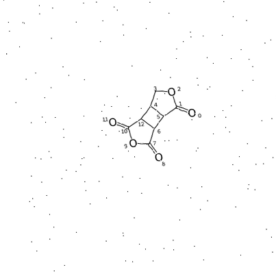 O=C1OCC2C1C1C(=O)OC(=O)C21